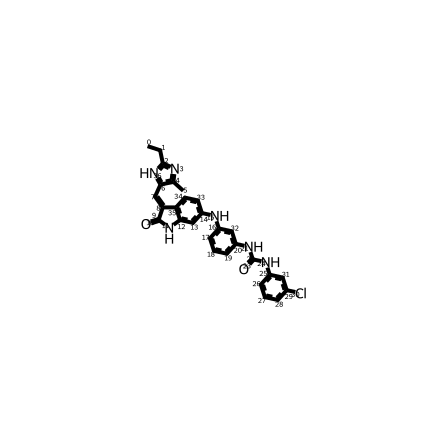 CCc1nc(C)c(C=C2C(=O)Nc3cc(Nc4cccc(NC(=O)Nc5cccc(Cl)c5)c4)ccc32)[nH]1